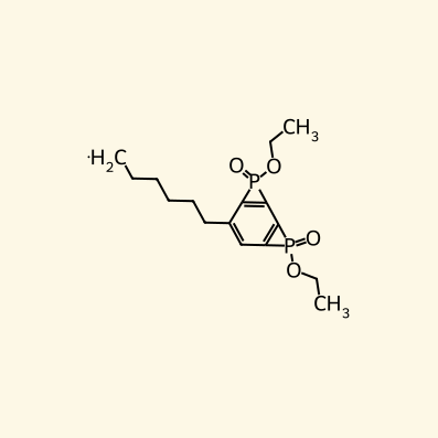 [CH2]CCCCCc1cc2c(c3c1P3(=O)OCC)P2(=O)OCC